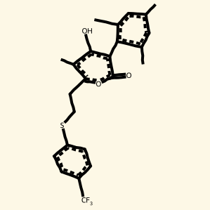 Cc1cc(C)c(-c2c(O)c(C)c(CCSc3ccc(C(F)(F)F)cc3)oc2=O)c(C)c1